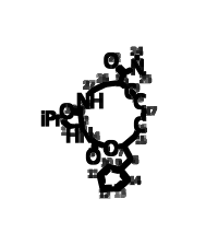 CC(C)C[C@@H]1NC(=O)OC(Cc2ccccc2)CCCCCC(C(=O)N(C)C)CCNC1=O